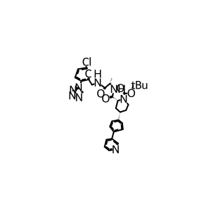 C[C@H](NC(=O)[C@H]1C[C@@H](c2ccc(-c3cccnc3)cc2)CCN1C(=O)OC(C)(C)C)C(=O)NCc1cc(Cl)ccc1-n1cnnn1